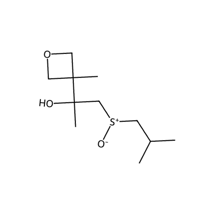 CC(C)C[S+]([O-])CC(C)(O)C1(C)COC1